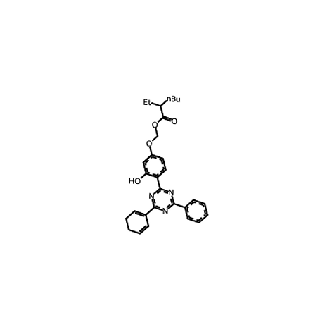 CCCCC(CC)C(=O)OCOc1ccc(-c2nc(C3=CCCC=C3)nc(-c3ccccc3)n2)c(O)c1